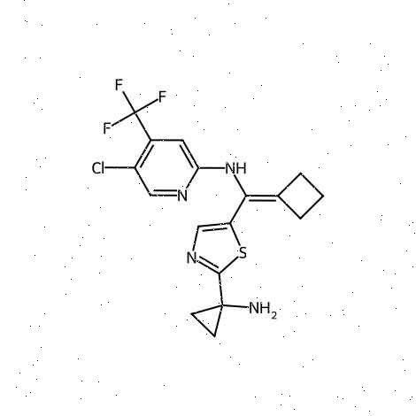 NC1(c2ncc(C(Nc3cc(C(F)(F)F)c(Cl)cn3)=C3CCC3)s2)CC1